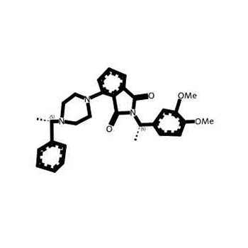 COc1ccc([C@H](C)N2C(=O)c3cccc(N4CCN([C@@H](C)c5ccccc5)CC4)c3C2=O)cc1OC